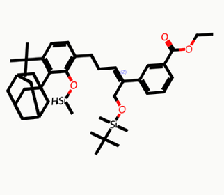 CCOC(=O)c1cccc(/C(=C/CCc2ccc(C(C)(C)C)c(C34CC5CC(CC(C5)C3)C4)c2O[SiH](C)C)CO[Si](C)(C)C(C)(C)C)c1